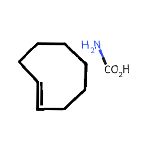 C1=C/CCCCCC/1.NC(=O)O